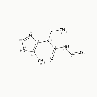 CCN(C(=O)NC=O)c1nc[nH]c1C